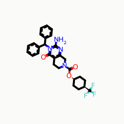 Nc1nc2c(c(=O)n1C(c1ccccc1)c1ccccc1)CCN(C(=O)O[C@H]1CC[C@H](C(F)(F)F)CC1)C2